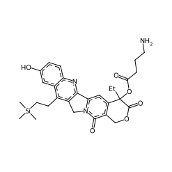 CCC1(OC(=O)CCCN)C(=O)OCc2c1cc1n(c2=O)Cc2c-1nc1ccc(O)cc1c2CC[Si](C)(C)C